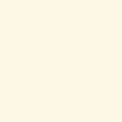 O=S(=O)(C1=CCCc2cc(Br)ccc21)c1cccc(F)c1